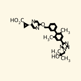 Cc1cc(-c2nnn(CC(C)(C)O)n2)cc(C)c1-c1cccc(COc2cnc([C@@H]3C[C@H]3C(=O)O)cn2)c1